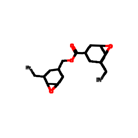 CC(C)CC1CC(COC(=O)C2CC(CC(C)C)C3OC3C2)CC2OC12